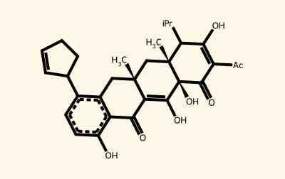 CC(=O)C1=C(O)C(C(C)C)[C@@]2(C)C[C@@]3(C)Cc4c(C5C=CCC5)ccc(O)c4C(=O)C3=C(O)[C@@]2(O)C1=O